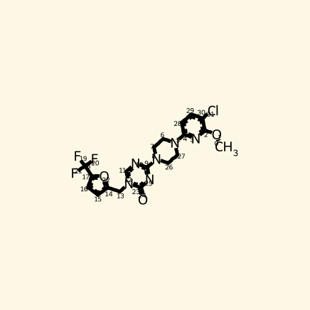 COc1nc(N2CCN(c3ncn(Cc4ccc(C(F)(F)F)o4)c(=O)n3)CC2)ccc1Cl